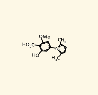 COc1cc(-n2c(C)ccc2C)cc(O)c1C(=O)O